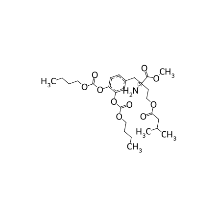 CCCCOC(=O)Oc1ccc(C[C@](N)(CCOC(=O)CC(C)C)C(=O)OC)cc1OC(=O)OCCCC